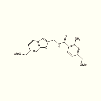 COCc1ccc2cc(CNC(=O)c3ccc(COC)nc3N)oc2c1